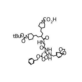 CC(C)(C)OC(=O)N1CCC(CCC(CCC2CCN(C(=O)O)CC2)C(=O)NCC(=O)N[C@@H](CC(=O)OCc2ccccc2)C(=O)NCc2ccc3c(c2)OCO3)CC1